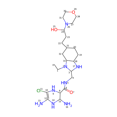 CCN1C(CNC(=O)C2NC(Cl)=C(N)NC2N)NC2CCC(CCC(O)N3CCOCC3)CC21